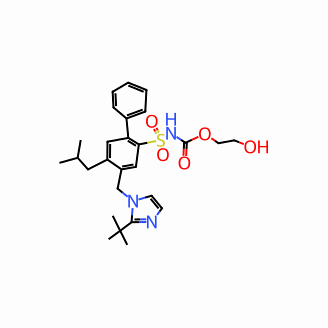 CC(C)Cc1cc(-c2ccccc2)c(S(=O)(=O)NC(=O)OCCO)cc1Cn1ccnc1C(C)(C)C